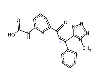 Cn1nnnc1/C(=N\C(=O)c1cccc(NC(=O)O)n1)c1ccccc1